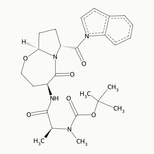 C[C@@H](C(=O)N[C@H]1CCO[C@H]2CC[C@H](C(=O)n3ccc4ccccc43)N2C1=O)N(C)C(=O)OC(C)(C)C